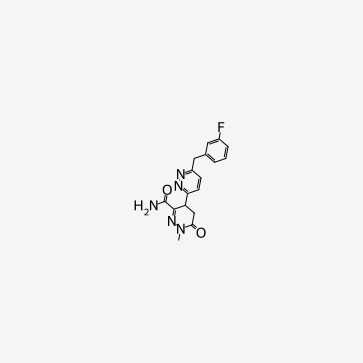 CN1N=C(C(N)=O)C(c2ccc(Cc3cccc(F)c3)nn2)CC1=O